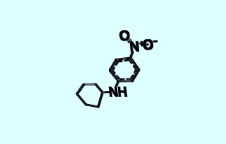 O=[N+]([O-])c1ccc(NC2CCCCC2)cc1